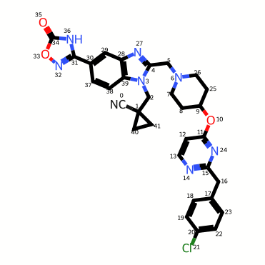 N#CC1(Cn2c(CN3CCC(Oc4ccnc(Cc5ccc(Cl)cc5)n4)CC3)nc3cc(-c4noc(=O)[nH]4)ccc32)CC1